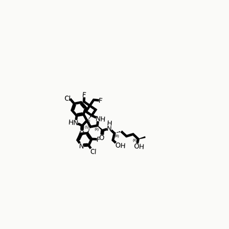 C[C@@H](O)CCC[C@H](CO)NC(=O)[C@@H]1NC2(CC(CF)(CF)C2)[C@@]2(C(=O)Nc3cc(Cl)ccc32)[C@H]1c1ccnc(Cl)c1F